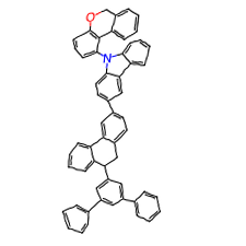 c1ccc(-c2cc(-c3ccccc3)cc(C3Cc4ccc(-c5ccc6c(c5)c5ccccc5n6-c5cccc6c5-c5ccccc5CO6)cc4-c4ccccc43)c2)cc1